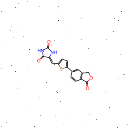 O=C1NC(=O)C(=Cc2ccc(-c3ccc4c(c3)COC4=O)s2)N1